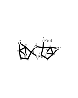 CCCCCC1(OC2(CCCCC)CCC34OC23O4)CCC23OC12O3